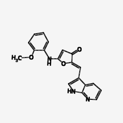 COc1ccccc1NC1=CC(=O)/C(=C/c2c[nH]c3ncccc23)O1